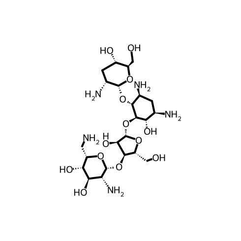 NC[C@@H]1O[C@H](O[C@H]2[C@@H](O)[C@H](O[C@@H]3[C@@H](O)[C@H](N)C[C@H](N)[C@H]3O[C@H]3O[C@H](CO)[C@@H](O)C[C@H]3N)O[C@@H]2CO)[C@H](N)[C@@H](O)[C@@H]1O